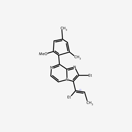 C/C=C(\CC)c1c(CC)nc2c(-c3c(C)cc(C)cc3OC)nccn12